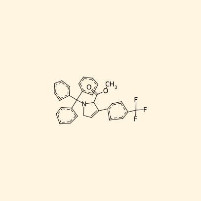 COC(=O)C1C(c2ccc(C(F)(F)F)cc2)=CCN1C(c1ccccc1)(c1ccccc1)c1ccccc1